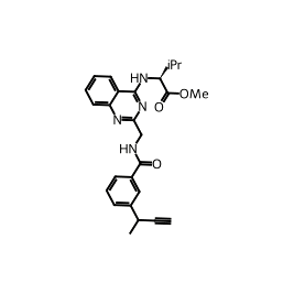 C#CC(C)c1cccc(C(=O)NCc2nc(N[C@H](C(=O)OC)C(C)C)c3ccccc3n2)c1